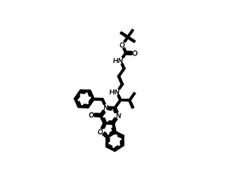 CC(C)C(NCCCNC(=O)OC(C)(C)C)c1nc2c(oc3ccccc32)c(=O)n1Cc1ccccc1